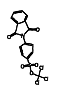 O=C1c2ccccc2C(=O)N1c1ccc(S(=O)(=O)OC(Cl)(Cl)Cl)cc1